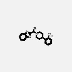 OC(c1nc2ccccc2o1)N1CCC(c2ccccc2C(F)(F)F)CC1